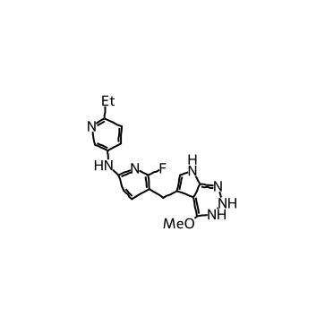 CCc1ccc(Nc2ccc(Cc3c[nH]c4c3=C(OC)NNN=4)c(F)n2)cn1